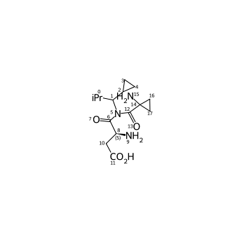 CC(C)C(C1CC1)N(C(=O)[C@@H](N)CC(=O)O)C(=O)C1(N)CC1